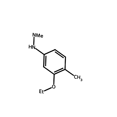 CCOc1cc(NNC)ccc1C